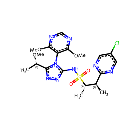 COc1ncnc(OC)c1-n1c(NS(=O)(=O)[C@@H](C)[C@H](C)c2ncc(Cl)cn2)nnc1[C@H](C)OC